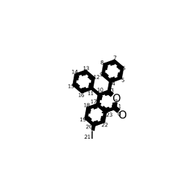 O=c1oc(-c2ccccc2)c(-c2ccccc2)c2ccc(I)cc12